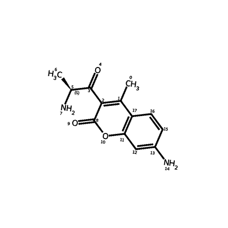 Cc1c(C(=O)[C@H](C)N)c(=O)oc2cc(N)ccc12